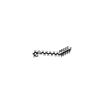 FC(F)(F)C(F)(F)C(F)(F)C(F)(F)C(F)(F)CCCCCCCCCCCOC1CCCO1